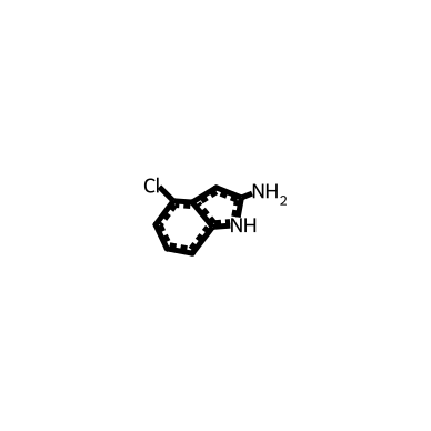 Nc1cc2c(Cl)cccc2[nH]1